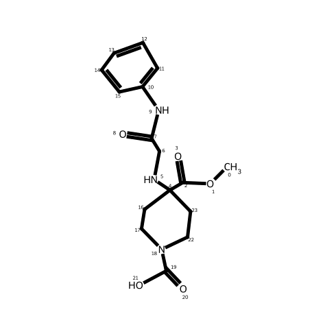 COC(=O)C1(NCC(=O)Nc2ccccc2)CCN(C(=O)O)CC1